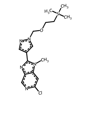 Cn1c(-c2cnn(COCC[Si](C)(C)C)c2)nc2cnc(Cl)cc21